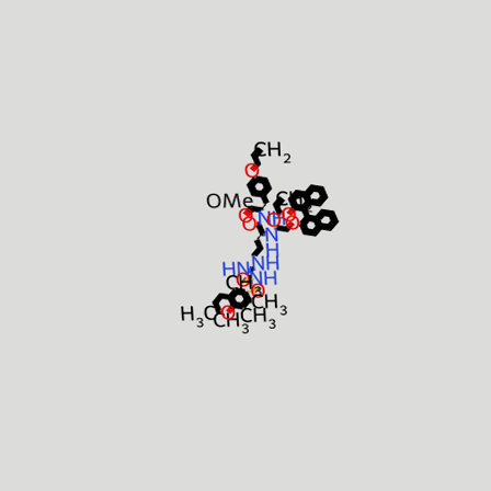 C=CCOc1ccc(C[C@H](NC(=O)[C@@H](CCCNC(=N)NS(=O)(=O)c2c(C)c(C)c3c(c2C)CCC(C)(C)O3)NC(=O)COc2ccc3ccccc3c2-c2c(OCC=C)ccc3ccccc23)C(=O)OC)cc1